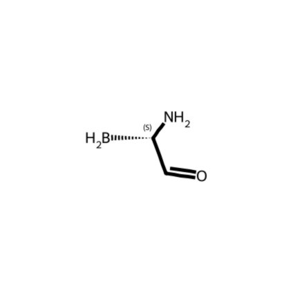 B[C@H](N)C=O